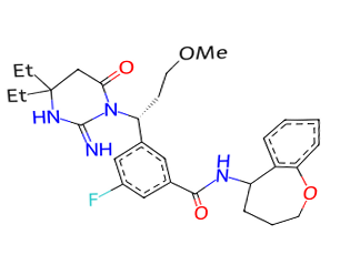 CCC1(CC)CC(=O)N([C@H](CCOC)c2cc(F)cc(C(=O)NC3CCCOc4ccccc43)c2)C(=N)N1